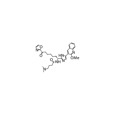 COc1nc2ccccc2cc1-c1cnc([C@H](CCCCCC(=O)c2ncco2)NC(=O)CCCN(C)C)[nH]1